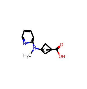 CN(c1ccccn1)C12CC(C(=O)O)(C1)C2